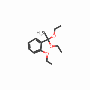 CCOc1ccccc1C([SiH3])(OCC)OCC